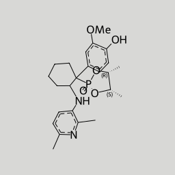 COc1cc(C2(P3(=O)O[C@@H](C)[C@@H](C)O3)CCCCC2Nc2ccc(C)nc2C)ccc1O